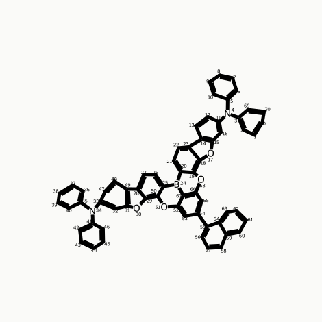 c1ccc(N(c2ccccc2)c2ccc3c(c2)oc2c4c(ccc23)B2c3ccc5c(oc6cc(N(c7ccccc7)c7ccccc7)ccc65)c3Oc3cc(-c5cccc6ccccc56)cc(c32)O4)cc1